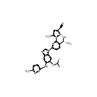 Cc1ccc(Nc2cc3ncn(-c4ccc([C@@H](C)O)c(-n5nc(C#N)cc5C)n4)c3cc2OC(F)F)nn1